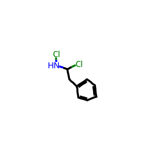 ClNC(Cl)Cc1ccccc1